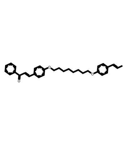 CC=Cc1ccc(OCCCCCCCCOc2ccc(/C=C/C(=O)c3ccccc3)cc2)cc1